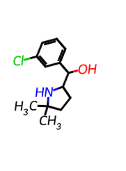 CC1(C)CCC(C(O)c2cccc(Cl)c2)N1